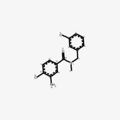 CN(Cc1cccc(Cl)c1)C(=O)c1ccc(Cl)c(N)c1